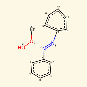 CCOO.c1ccc(N=Nc2ccccc2)cc1